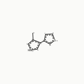 Cc1c[nH]cc1-c1ccsc1